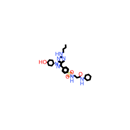 CCCCNc1ncc2c(-c3ccc(S(=O)(=O)NCCC(=O)NC4CCCCC4)cc3)nn([C@H]3CC[C@H](O)CC3)c2n1